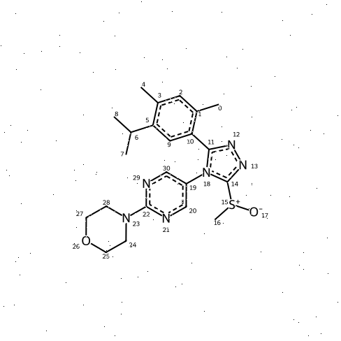 Cc1cc(C)c(C(C)C)cc1-c1nnc([S+](C)[O-])n1-c1cnc(N2CCOCC2)nc1